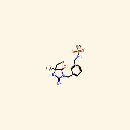 CCCS(=O)(=O)NCc1cccc(CN2C(=N)NC(C)(CC(C)C)C2=O)c1